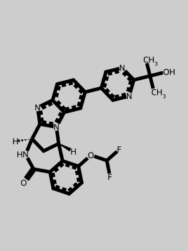 CC(C)(O)c1ncc(-c2ccc3nc4n(c3c2)[C@H]2C[C@H]4NC(=O)c3cccc(OC(F)F)c32)cn1